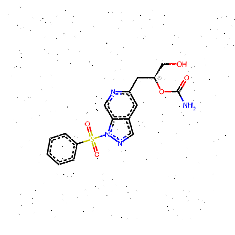 NC(=O)O[C@H](CO)Cc1cc2cnn(S(=O)(=O)c3ccccc3)c2cn1